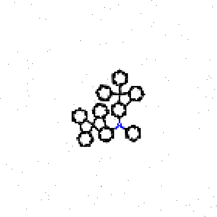 c1ccc(N(c2ccc3c(c2)-c2ccccc2C3(c2ccccc2)c2ccccc2)c2cccc3c2-c2ccccc2C32c3ccccc3-c3ccccc32)cc1